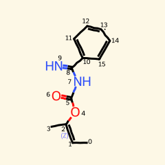 C/C=C(/C)OC(=O)NC(=N)c1cc[c]cc1